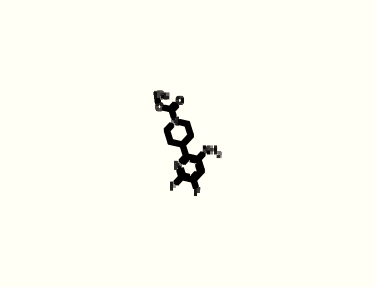 CC(C)(C)OC(=O)N1CCC(c2nc(F)c(F)cc2N)CC1